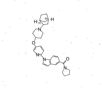 O=C(c1ccc2c(ccn2-c2ccc(OC3CCN(C4C[C@@H]5CC[C@H]4C5)CC3)cn2)c1)N1CCCC1